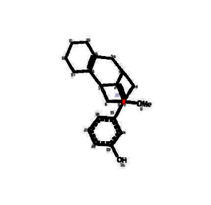 CO/C(=C1\C2CCCC1C1=C(CCCC1)C2)c1cccc(O)c1